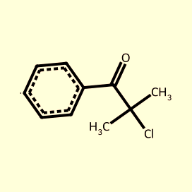 CC(C)(Cl)C(=O)c1cc[c]cc1